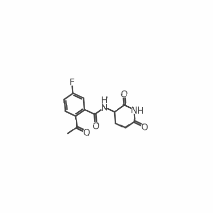 CC(=O)c1ccc(F)cc1C(=O)NC1CCC(=O)NC1=O